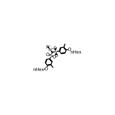 CCCCCCOc1ccc(S(=O)(=O)C(=[N+]=[N-])S(=O)(=O)c2ccc(OCCCCCC)c(C)c2)cc1C